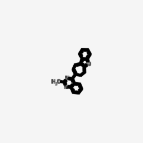 Cc1nc(C2=CC=c3c(oc4ccccc34)=CC2)c2ccccc2n1